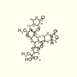 Cc1nc2cc(-c3ncc([C@@](C)(O)C(F)(F)F)s3)c([S@@+]([O-])[C@H]3CCN4C(=O)OC[C@@H]4C3)cc2c(=O)n1Cc1ccc(Cl)cc1